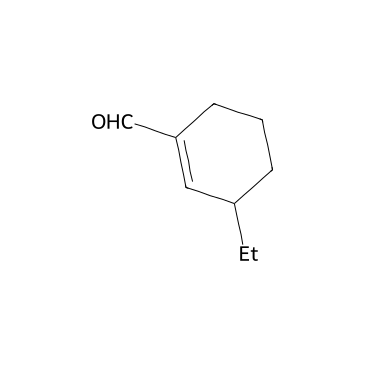 CCC1C=C(C=O)CCC1